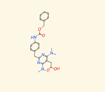 CN(C)c1nc(Cc2ccc(NC(=O)OCc3ccccc3)cc2)nc(N(C)C)c1CC(=O)O